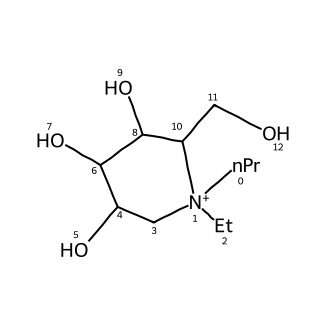 CCC[N+]1(CC)CC(O)C(O)C(O)C1CO